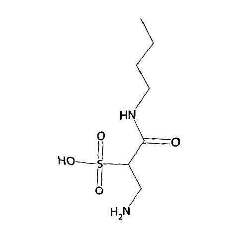 CCCCNC(=O)C(CN)S(=O)(=O)O